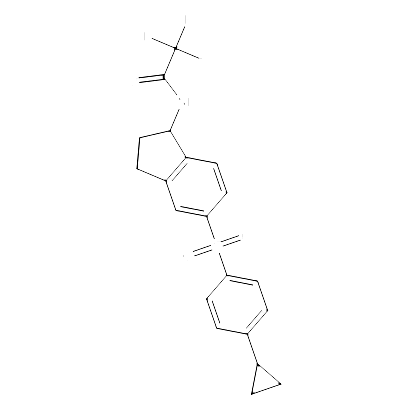 O=C(NC1CCc2cc(S(=O)(=O)c3ccc(C4CC4)cc3)ccc21)C(F)(F)F